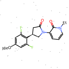 CCn1cccc(N2C[C@@H](c3c(F)cc(OC)cc3F)CC2=O)c1=O